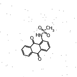 CS(=O)(=O)Nc1cccc2c1C(=O)c1ccccc1C2=O